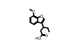 CCC(CC(=O)O)c1coc2c(OC)cccc12